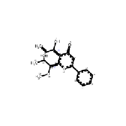 C=C/C(O)=c1/c(=O)cc(-c2ccccc2)o/c1=C(\OC)C(C)O